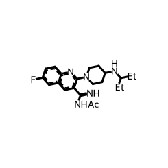 CCC(CC)NC1CCN(c2nc3ccc(F)cc3cc2C(=N)NC(C)=O)CC1